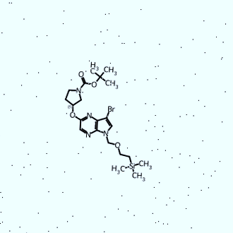 CC(C)(C)OC(=O)N1CC[C@H](Oc2cnc3c(n2)c(Br)cn3COCC[Si](C)(C)C)C1